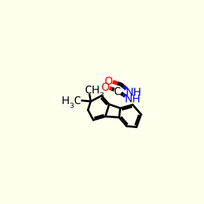 CC1(C)C=C2C(=CC1)c1ccccc12.N=C=O.N=C=O